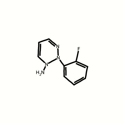 NN1C=CC=NN1c1ccccc1F